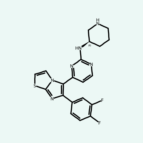 Fc1ccc(-c2nc3sccn3c2-c2ccnc(N[C@@H]3CCCNC3)n2)cc1F